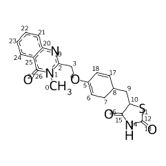 Cn1c(COC2=CCC(CC3SC(=O)NC3=O)C=C2)nc2ccccc2c1=O